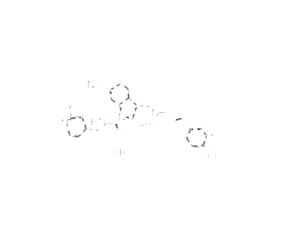 Cc1cc(CNC(=O)n2c3c(c4ccc(C#N)cc42)CN(C/C=C/c2ccc(Cl)c(F)c2)CC3)ccn1.Cl